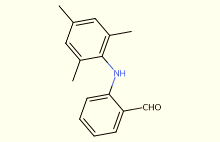 Cc1cc(C)c(Nc2ccccc2C=O)c(C)c1